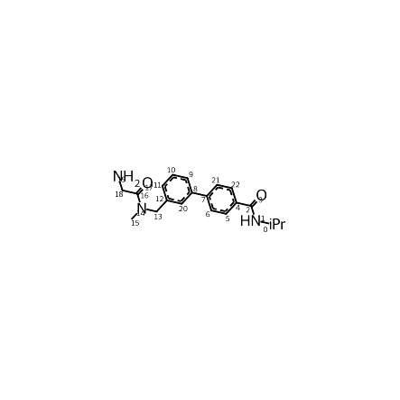 CC(C)NC(=O)c1ccc(-c2cccc(CN(C)C(=O)CN)c2)cc1